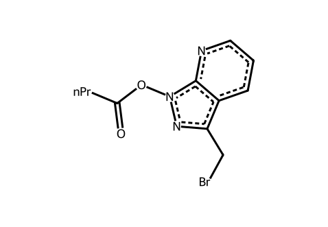 CCCC(=O)On1nc(CBr)c2cccnc21